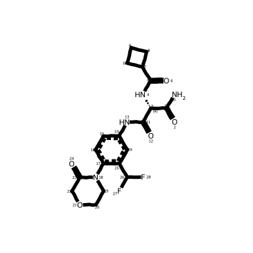 NC(=O)[C@@H](NC(=O)C1CCC1)C(=O)Nc1ccc(N2CCOCC2=O)c(C(F)F)c1